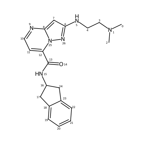 CN(C)CCNc1cc2nccc(C(=O)NC3Cc4ccccc4C3)n2n1